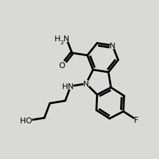 NC(=O)c1cncc2c3cc(F)ccc3n(NCCCO)c12